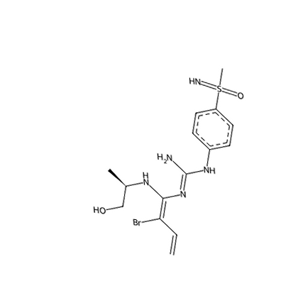 C=C/C(Br)=C(\N=C(/N)Nc1ccc(S(C)(=N)=O)cc1)N[C@H](C)CO